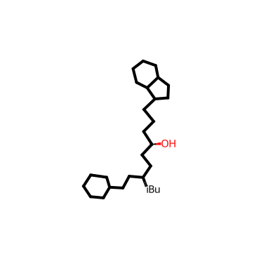 CCC(C)C(CCC1CCCCC1)CC[C@H](O)CCCC1CCC2CCCCC21